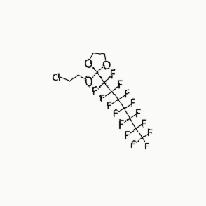 FC(F)(F)C(F)(F)C(F)(F)C(F)(F)C(F)(F)C(F)(F)C(F)(F)C1(OCCCl)OCCO1